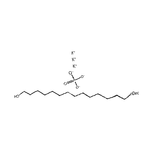 CCCCCCCCCCCCCCCCCCCCCCCCO.O=P([O-])([O-])[O-].[K+].[K+].[K+]